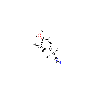 COc1ccc(C(C)(C)C#N)cc1C